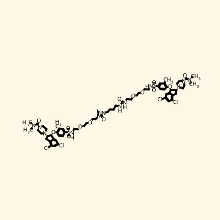 Cc1cc(S(=O)(=O)NCCOCCOCCNC(=O)NCCCCNC(=O)NCCOCCOCCNS(=O)(=O)c2ccc(O[C@H]3c4cc(Cl)cc(Cl)c4C[C@@H]3N3CCN(C(=O)N(C)C)CC3)c(C)c2)ccc1O[C@H]1c2cc(Cl)cc(Cl)c2C[C@@H]1N1CCN(C(=O)N(C)C)CC1